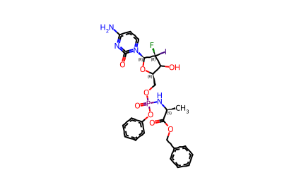 C[C@H](NP(=O)(OC[C@H]1O[C@@H](n2ccc(N)nc2=O)[C@](F)(I)C1O)Oc1ccccc1)C(=O)OCc1ccccc1